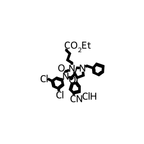 CCOC(=O)CCCCN1C(=O)N(c2cc(Cl)cc(Cl)c2)C(=O)[C@]12CN(Cc1ccccc1)C[C@H]2c1ccc(C#N)cc1.Cl